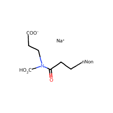 CCCCCCCCCCCC(=O)N(CCC(=O)[O-])C(=O)O.[Na+]